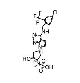 CN([C@H]1C[C@@H](n2ccc3c(NCc4ccc(Cl)cc4C(F)(F)F)ncnc32)C[C@@H]1O)S(=O)(=O)O